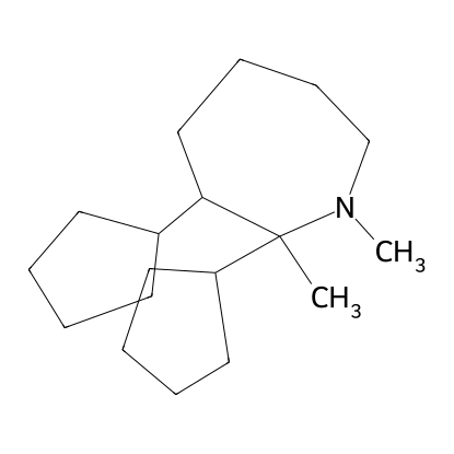 CN1CCCCC(C2CCCC2)C1(C)C1CCCC1